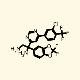 NCC(N)(c1ccc2c(c1)OC(F)(F)O2)c1cc(-c2ccc(C(F)(F)F)c(Cl)c2)ncn1